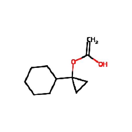 C=C(O)OC1(C2CCCCC2)CC1